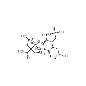 CCC(CC(=O)O)(C(=O)O)P(=O)(O)O.O=C(O)CC(C(=O)O)C(CP(=O)(O)O)C(=O)O